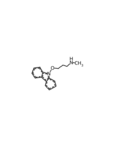 CNCCCOn1c2ccccc2c2ccccc21